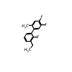 CCc1cccc(-c2cc(F)c(F)cc2C)c1F